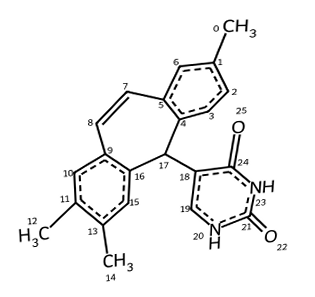 Cc1ccc2c(c1)C=Cc1cc(C)c(C)cc1C2c1c[nH]c(=O)[nH]c1=O